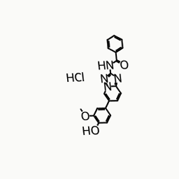 COc1cc(-c2ccc3nc(NC(=O)c4ccccc4)nn3c2)ccc1O.Cl